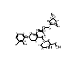 Cc1cccc(N2CCc3c(nc(OC[C@@H]4C[C@@H](F)CN4C)nc3N3CCNC(CC#N)C3)C2)c1C